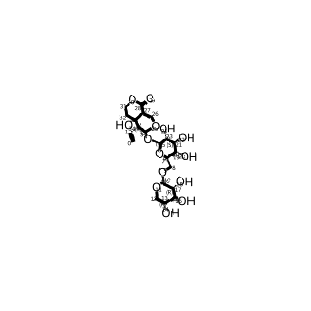 C=C[C@H]1[C@H](O[C@@H]2O[C@H](CO[C@@H]3OC[C@@H](O)[C@H](O)[C@H]3O)[C@@H](O)[C@H](O)[C@H]2O)OC=C2C(=O)OCC[C@]21O